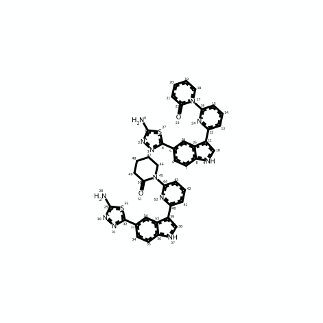 Nc1nnc(-c2ccc3[nH]cc(-c4cccc(-n5ccccc5=O)n4)c3c2)s1.Nc1nnc(-c2ccc3[nH]cc(-c4cccc(N5CCCCC5=O)n4)c3c2)s1